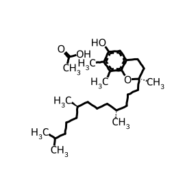 CC(=O)O.Cc1c(O)cc2c(c1C)O[C@](C)(CCC[C@H](C)CCC[C@H](C)CCCC(C)C)CC2